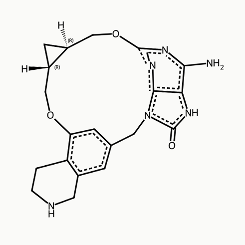 Nc1nc2nc3c1[nH]c(=O)n3Cc1cc3c(c(c1)OC[C@@H]1C[C@H]1CO2)CCNC3